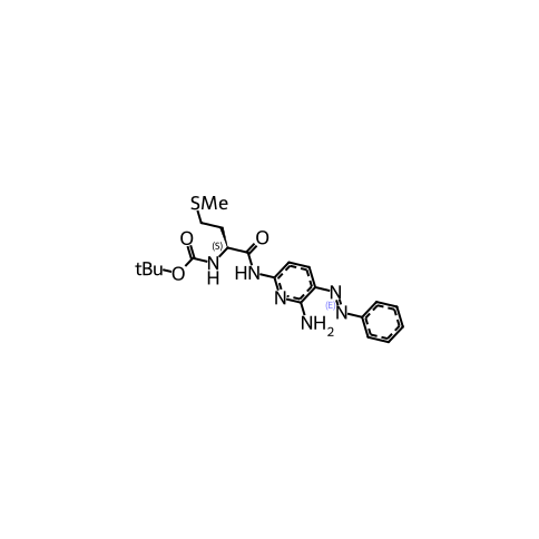 CSCC[C@H](NC(=O)OC(C)(C)C)C(=O)Nc1ccc(/N=N/c2ccccc2)c(N)n1